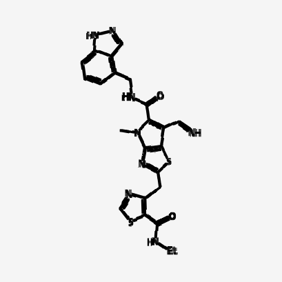 CCNC(=O)c1scnc1Cc1nc2c(s1)c(C=N)c(C(=O)NCc1cccc3[nH]ncc13)n2C